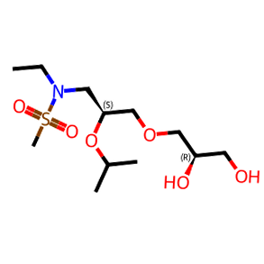 CCN(C[C@@H](COC[C@H](O)CO)OC(C)C)S(C)(=O)=O